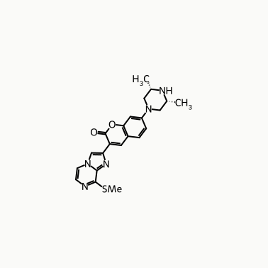 CSc1nccn2cc(-c3cc4ccc(N5C[C@@H](C)N[C@@H](C)C5)cc4oc3=O)nc12